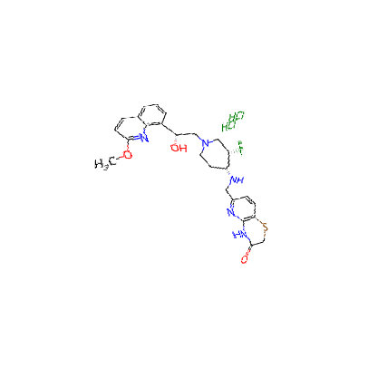 COc1ccc2cccc([C@@H](O)CN3CC[C@@H](NCc4ccc5c(n4)NC(=O)CS5)[C@@H](F)C3)c2n1.Cl.Cl